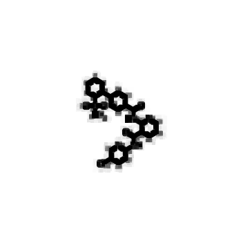 NS(=O)(=O)c1ccccc1-c1ccc(C(=O)Nc2ncccc2C(=O)Nc2ccc(Cl)cn2)cc1